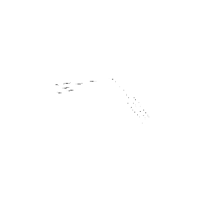 [C]#CCC#[C]